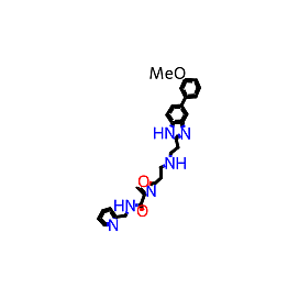 COc1cccc(-c2ccc3[nH]c(CCNCCc4nc(C(=O)NCc5ccccn5)co4)nc3c2)c1